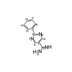 N=C(N)c1cnc(-c2ccccc2)nc1